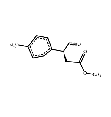 COC(=O)C[C@H](C=O)c1ccc(C)cc1